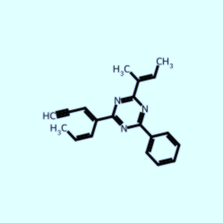 C#C/C=C(\C=C/C)c1nc(/C(C)=C/C)nc(-c2ccccc2)n1